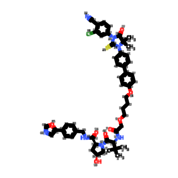 CC(C)(C)[C@H](NC(=O)COCCCCOc1ccc(-c2ccc(N3C(=S)N(c4ccc(C#N)c(Cl)c4)C(=O)C3(C)C)cc2)cc1)C(=O)N1C[C@H](O)C[C@H]1C(=O)NCc1ccc(-c2cnco2)cc1